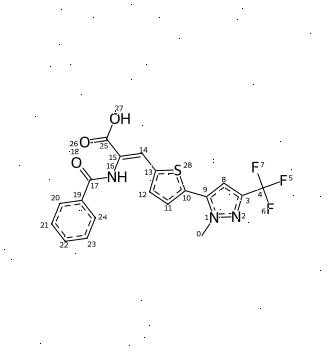 Cn1nc(C(F)(F)F)cc1-c1ccc(/C=C(\NC(=O)c2ccccc2)C(=O)O)s1